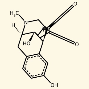 CN1CC[C@]23CC(=O)NC(=O)NCC[C@@]2(O)[C@H]1Cc1ccc(O)cc13